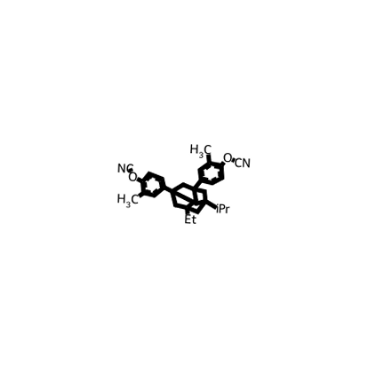 CCC12CC3(c4ccc(OC#N)c(C)c4)CC(c4ccc(OC#N)c(C)c4)(C1)CC(C(C)C)(C2)C3